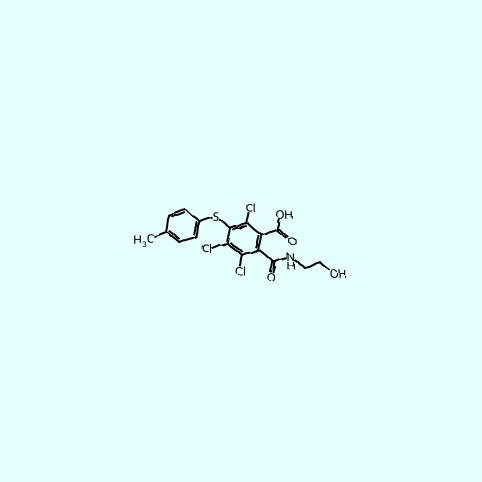 Cc1ccc(Sc2c(Cl)c(Cl)c(C(=O)NCCO)c(C(=O)O)c2Cl)cc1